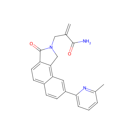 C=C(CN1Cc2c(ccc3ccc(-c4cccc(C)n4)cc23)C1=O)C(N)=O